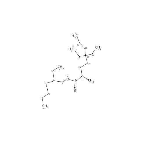 CCCCC(CC)COC(=O)C(C)CCC(CC)(CC)CCC